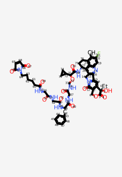 CC[C@@]1(O)C(=O)OCc2c1cc1n(c2=O)Cc2c-1nc1cc(F)c(C)c3c1c2[C@@H](NC(=O)C(OCNC(=O)CNC(=O)[C@H](Cc1ccccc1)NC(=O)CNC(=O)CNC(=O)CCCCCN1C(=O)C=CC1=O)C1CC1)CC3